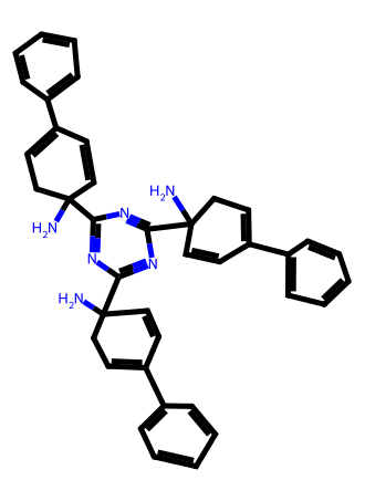 NC1(c2nc(C3(N)C=CC(c4ccccc4)=CC3)nc(C3(N)C=CC(c4ccccc4)=CC3)n2)C=CC(c2ccccc2)=CC1